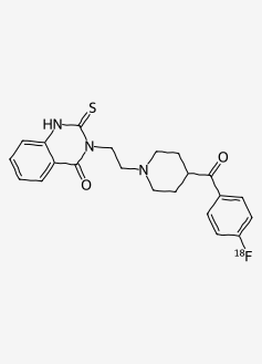 O=C(c1ccc([18F])cc1)C1CCN(CCn2c(=S)[nH]c3ccccc3c2=O)CC1